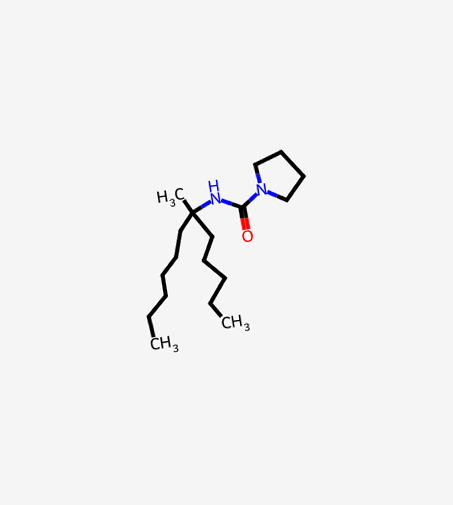 CCCCCCC(C)(CCCCC)NC(=O)N1CCCC1